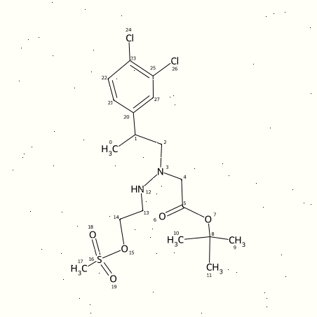 CC(CN(CC(=O)OC(C)(C)C)NCCOS(C)(=O)=O)c1ccc(Cl)c(Cl)c1